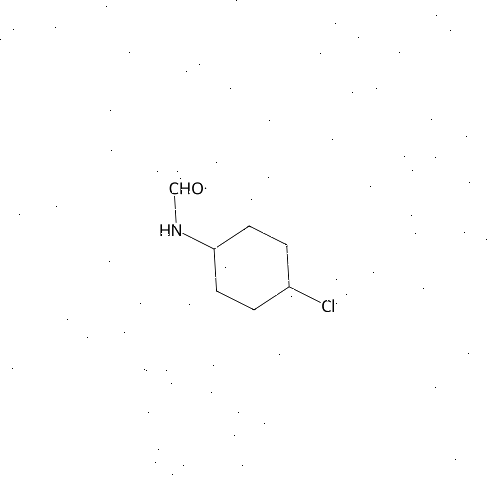 O=[C]NC1CCC(Cl)CC1